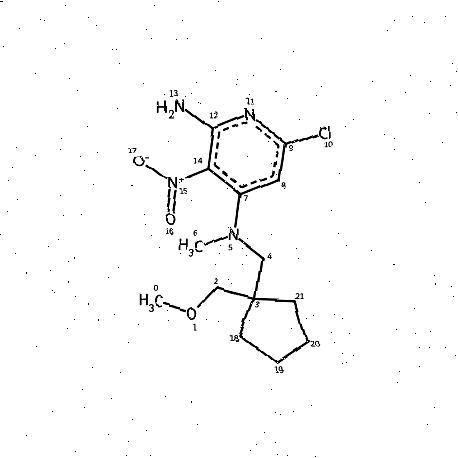 COCC1(CN(C)c2cc(Cl)nc(N)c2[N+](=O)[O-])CCCC1